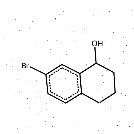 OC1CCCc2ccc(Br)cc21